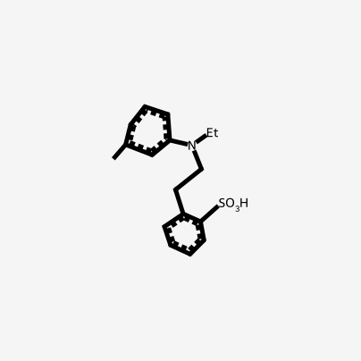 CCN(CCc1ccccc1S(=O)(=O)O)c1cccc(C)c1